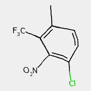 Cc1ccc(Cl)c([N+](=O)[O-])c1C(F)(F)F